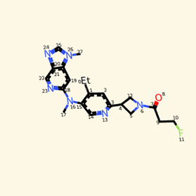 CCc1cc(C2CN(C(=O)CCF)C2)ncc1N(C)c1cc2c(cn1)ncn2C